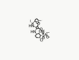 CC[C@@H](Nc1c(Nc2ccc(Cl)c(S(=O)(=O)N(CC)OC)c2O)c(=O)c1=O)c1ccc(C)o1